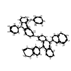 C1=Cc2cc(-c3c4ccccc4c(-c4ccc5ccccc5c4)c4ccc(-c5ccc6c(c5)c5c(-c7ccccc7)nccc5n6-c5ccccc5)cc34)ccc2CC1